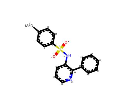 COc1ccc(S(=O)(=O)Nc2cccnc2-c2ccccc2)cc1